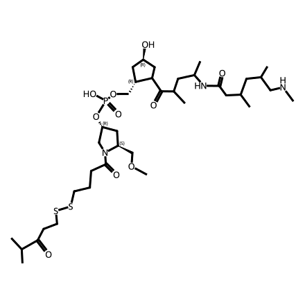 CNCC(C)CC(C)CC(=O)NC(C)CC(C)C(=O)C1C[C@H](O)C[C@H]1COP(=O)(O)O[C@@H]1C[C@@H](COC)N(C(=O)CCCSSCCC(=O)C(C)C)C1